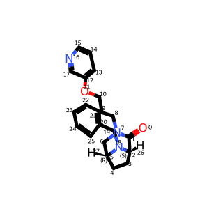 O=C1[C@@H]2CC[C@H](CN1CCCOc1cccnc1)N2Cc1ccccc1